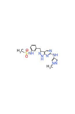 C=CS(=O)(=O)Nc1cccc(Cc2n[nH]c3nc(Nc4cnn(C)c4)ncc23)c1